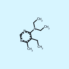 CCc1c(C)ncnc1N(CC)CC